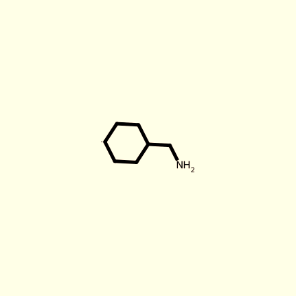 NCC1CC[CH]CC1